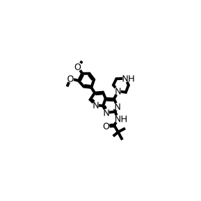 COc1ccc(-c2cnc3nc(NC(=O)C(C)(C)C)nc(N4CCNCC4)c3c2)cc1OC